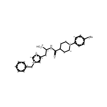 CC(C)(C)c1ccc(N2CCC(C(=O)NC(Cc3cn(Cc4ccccc4)cn3)C(=O)O)CC2)cc1